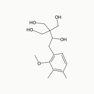 COc1c(CC(O)C(CO)(CO)CO)ccc(C)c1C